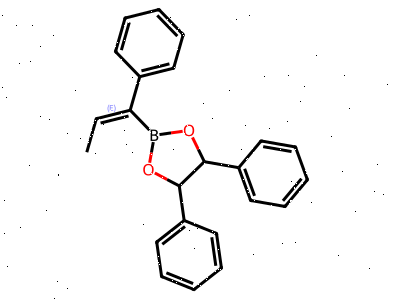 C/C=C(\B1OC(c2ccccc2)C(c2ccccc2)O1)c1ccccc1